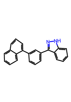 c1cc(-c2cccc3ccccc23)cc(-c2n[nH]c3ccccc23)c1